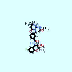 COCC[C@H](c1cccc(C(=O)NC2c3cc(F)ccc3OC(C)(C)C2(C)O)c1)N1C(=N)NC(C)(C)CC1=O